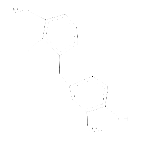 COc1cc(Cc2cccc(OC)c2O)ccc1O